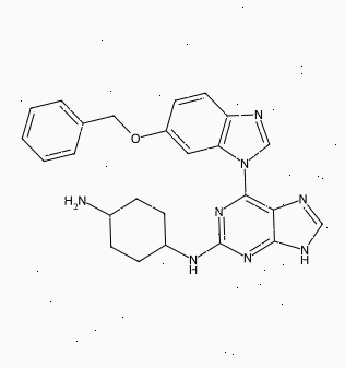 NC1CCC(Nc2nc(-n3cnc4ccc(OCc5ccccc5)cc43)c3nc[nH]c3n2)CC1